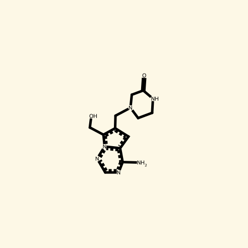 Nc1ncnn2c(CO)c(CN3CCNC(=O)C3)cc12